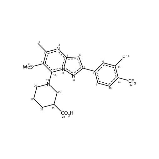 CSc1c(C)nc2cc(-c3ccc(C(F)(F)F)c(F)c3)nn2c1N1CCCC(C(=O)O)C1